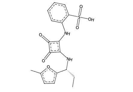 CC[C@@H](Nc1c(Nc2ccccc2S(=O)(=O)O)c(=O)c1=O)c1ccc(C)o1